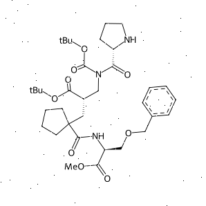 COC(=O)[C@H](COCc1ccccc1)NC(=O)C1(C[C@@H](CN(C(=O)OC(C)(C)C)C(=O)[C@@H]2CCCN2)C(=O)OC(C)(C)C)CCCC1